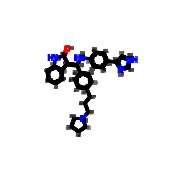 O=C1Nc2ccccc2/C1=C(/Nc1ccc(-c2c[nH]cn2)cc1)c1ccc(CCCN2CCCC2)cc1